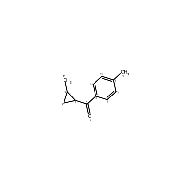 Cc1ccc(C(=O)C2CC2C)cc1